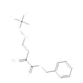 C=C(CCNSC(C)(C)C(F)(F)F)C(=O)OCc1ccccc1